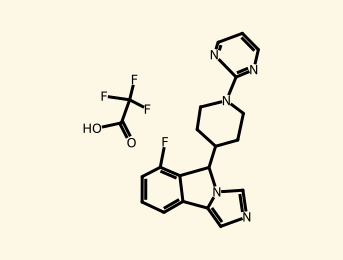 Fc1cccc2c1C(C1CCN(c3ncccn3)CC1)n1cncc1-2.O=C(O)C(F)(F)F